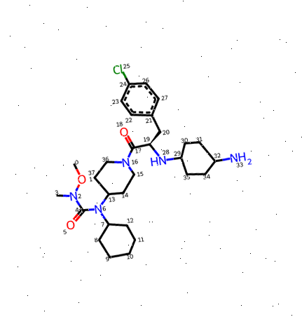 CON(C)C(=O)N(C1CCCCC1)C1CCN(C(=O)[C@@H](Cc2ccc(Cl)cc2)NC2CCC(N)CC2)CC1